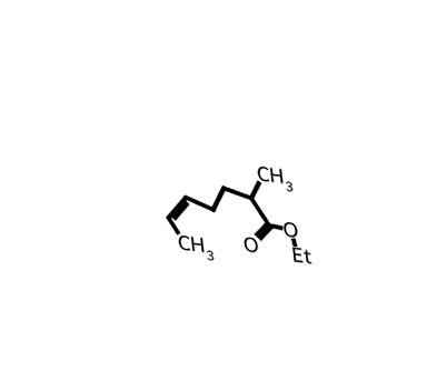 C/C=C\CCC(C)C(=O)OCC